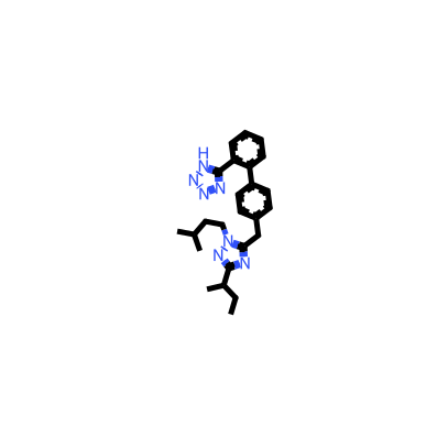 CCC(C)c1nc(Cc2ccc(-c3ccccc3-c3nnn[nH]3)cc2)n(CCC(C)C)n1